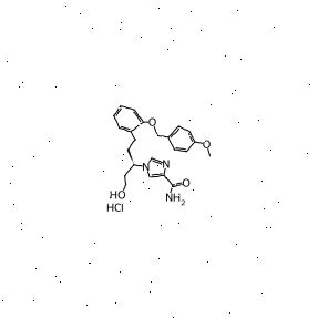 COc1ccc(COc2ccccc2CC[C@H](CCO)n2cnc(C(N)=O)c2)cc1.Cl